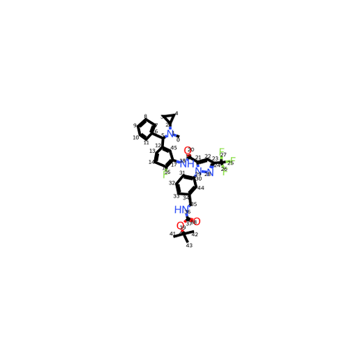 CN(C1CC1)C(c1ccccc1)c1ccc(F)c(NC(=O)c2cc(C(F)(F)F)nn2-c2cccc(CNC(=O)OC(C)(C)C)c2)c1